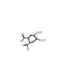 O=C(O)c1cc(C(=O)Cl)c(C(=O)Cl)cc1C(=O)O